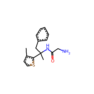 Cc1ccsc1C(C)(Cc1ccccc1)NC(=O)CN